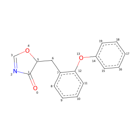 O=C1N=COC1Cc1ccccc1Oc1ccccc1